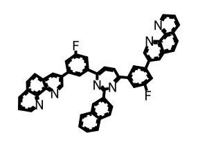 Fc1cc(C2=C=CC(c3cc(F)cc(-c4cnc5c(ccc6cccnc65)c4)c3)=NC(c3ccc4ccccc4c3)=N2)cc(-c2cnc3c(ccc4cccnc43)c2)c1